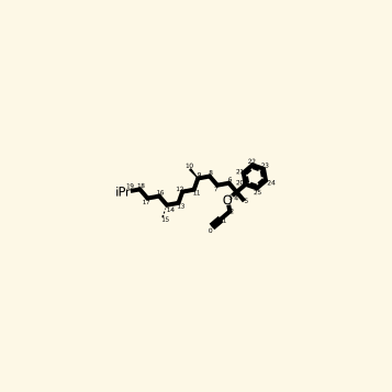 C#CCOC(C)(CCC[C@H](C)CCC[C@H](C)CCCC(C)C)c1ccccc1